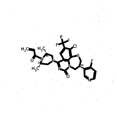 C=CC(=O)N1[C@H](C)CN(c2nc(=O)n3c4c(c(Cl)c(C(F)(F)F)cc24)SC[C@@H](c2cnccc2F)C3)C[C@@H]1C